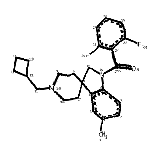 Cc1ccc2c(c1)C1(CCN(CC3CCC3)CC1)CN2C(=O)c1c(F)cccc1F